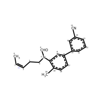 C/C=C\CCN(C=O)c1nc(-c2cccc(C#N)c2)ccc1C